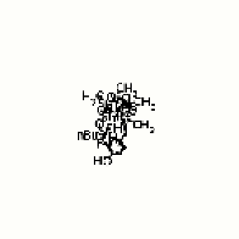 CCCC[Si](C)(C)O[SiH2]O[Si](C)(C)O[Si](C)(C)O[Si](C)(C)O[Si](C)(C)CCc1ccc(O)c(F)c1